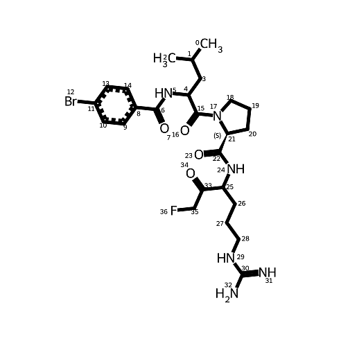 CC(C)CC(NC(=O)c1ccc(Br)cc1)C(=O)N1CCC[C@H]1C(=O)NC(CCCNC(=N)N)C(=O)CF